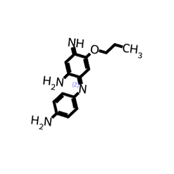 CCCOC1=C/C(=N/c2ccc(N)cc2)C(N)=CC1=N